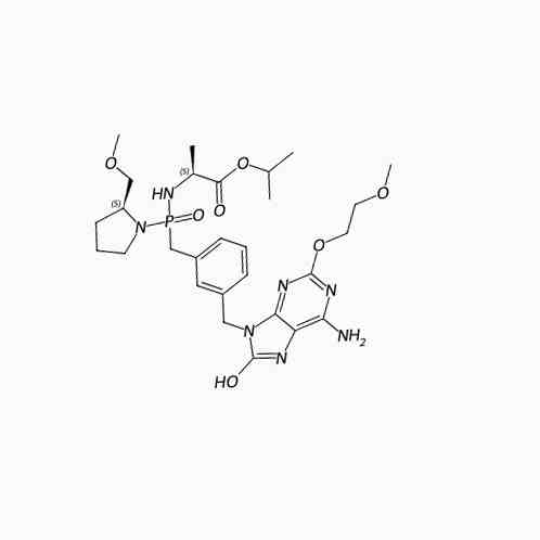 COCCOc1nc(N)c2nc(O)n(Cc3cccc(CP(=O)(N[C@@H](C)C(=O)OC(C)C)N4CCC[C@H]4COC)c3)c2n1